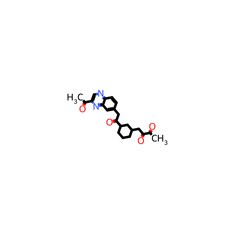 CC(=O)C(=O)CC1CCCC(C(=O)Cc2ccc3ncc(C(C)=O)nc3c2)C1